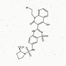 CC(C)CCn1c(=O)c(C2=NS(=O)(=O)c3cc(NS(=O)(=O)N4CCC[C@H]4C(=O)O)ccc3N2)c(O)c2cccnc21